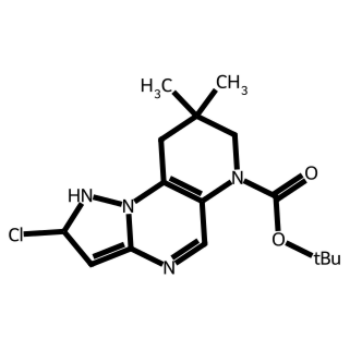 CC1(C)CC2=C(C=NC3=CC(Cl)NN32)N(C(=O)OC(C)(C)C)C1